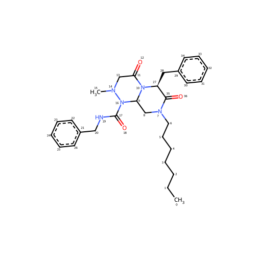 CCCCCCCN1CC2N(C(=O)CN(C)N2C(=O)NCc2ccccc2)[C@@H](Cc2ccccc2)C1=O